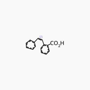 O=C(O)c1ccccc1/C=C\c1ccccc1